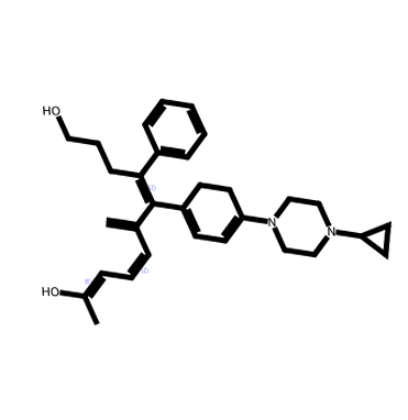 C=C(/C=C\C=C(/C)O)/C(C1=CC=C(N2CCN(C3CC3)CC2)CC1)=C(\CCCO)c1ccccc1